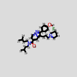 COc1ccc(-c2nn3ccc(C(=O)N(CCC(C)C)CCC(C)C)cc3c2CCCN2CCCC(F)C2)cc1